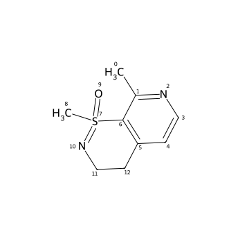 Cc1nccc2c1S(C)(=O)=NCC2